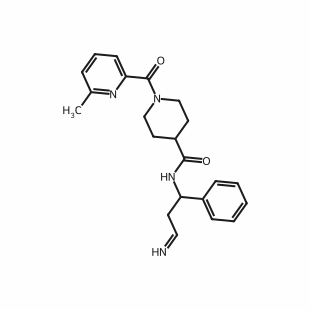 Cc1cccc(C(=O)N2CCC(C(=O)NC(CC=N)c3ccccc3)CC2)n1